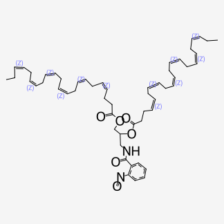 CC/C=C\C/C=C\C/C=C\C/C=C\C/C=C\C/C=C\CCC(=O)OCC(CNC(=O)c1ccccc1N=O)OC(=O)CC/C=C\C/C=C\C/C=C\C/C=C\C/C=C\C/C=C\CC